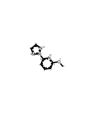 COc1cccc(-n2nccn2)n1